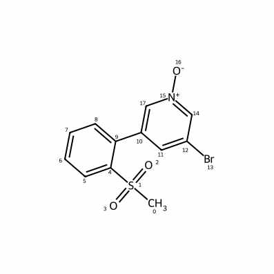 CS(=O)(=O)c1ccccc1-c1cc(Br)c[n+]([O-])c1